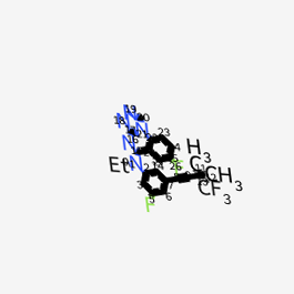 CCN(c1cc(F)cc(C#CC(C)(C)C(F)(F)F)c1)c1nc2nncn2c2ccc(F)cc12